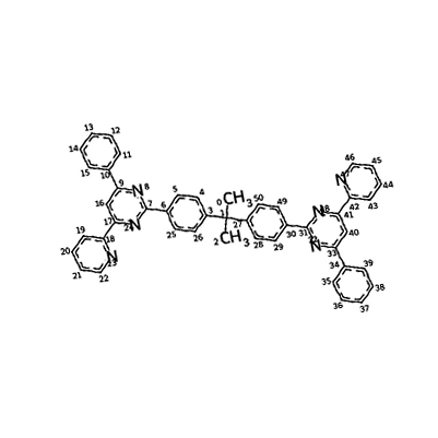 CC(C)(c1ccc(-c2nc(-c3ccccc3)cc(-c3ccccn3)n2)cc1)c1ccc(-c2nc(-c3ccccc3)cc(-c3ccccn3)n2)cc1